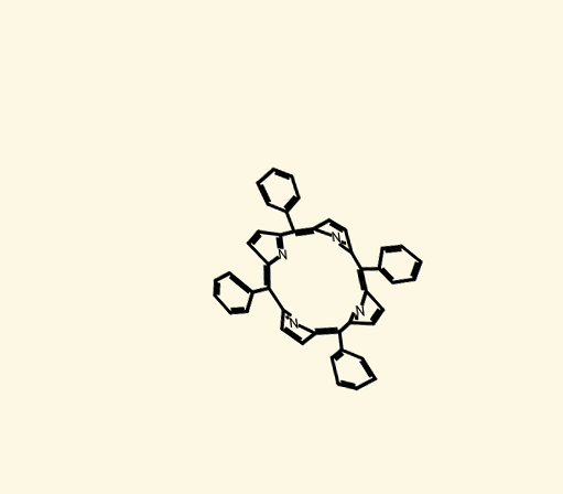 C1=CC2=C(c3ccccc3)C3=NC(=C(c4ccccc4)C4=NC(=C(c5ccccc5)C5=NC(=C(c6ccccc6)C1=N2)C=C5)C=C4)C=C3